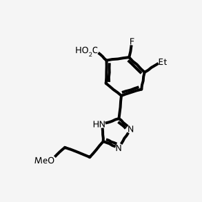 CCc1cc(-c2nnc(CCOC)[nH]2)cc(C(=O)O)c1F